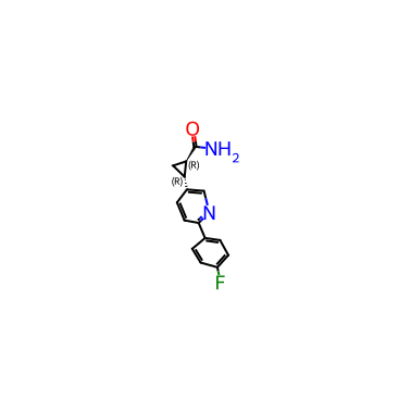 NC(=O)[C@@H]1C[C@H]1c1ccc(-c2ccc(F)cc2)nc1